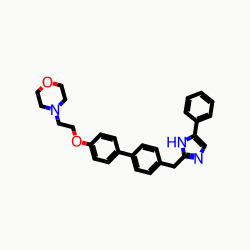 c1ccc(-c2cnc(Cc3ccc(-c4ccc(OCCN5CCOCC5)cc4)cc3)[nH]2)cc1